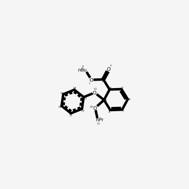 CCCCOC(=O)C1C=CC=CC1(OCCC)Oc1ccccc1